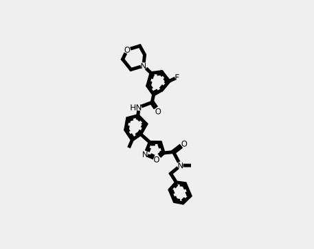 Cc1ccc(NC(=O)c2cc(F)cc(N3CCOCC3)c2)cc1-c1cc(C(=O)N(C)Cc2ccccc2)on1